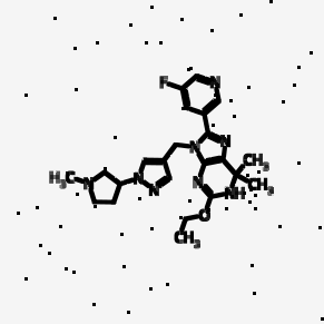 CCOC1=Nc2c(nc(-c3cncc(F)c3)n2Cc2cnn(C3CCN(C)C3)c2)C(C)(C)N1